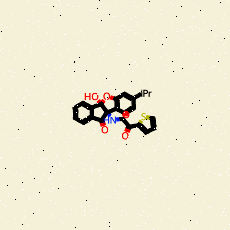 CC(C)c1ccc2c(c1)OC1(O)c3ccccc3C(=O)C21NC(=O)C(=O)c1cccs1